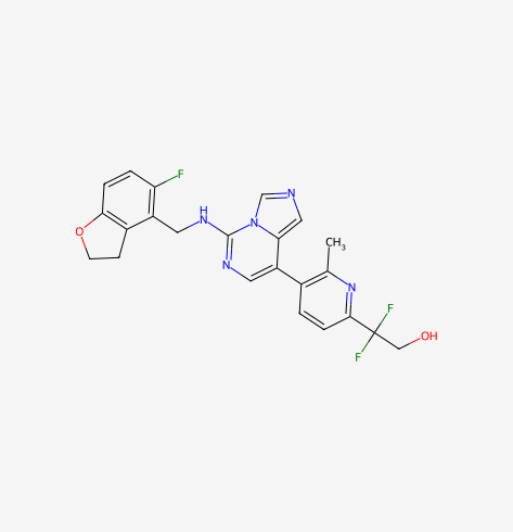 Cc1nc(C(F)(F)CO)ccc1-c1cnc(NCc2c(F)ccc3c2CCO3)n2cncc12